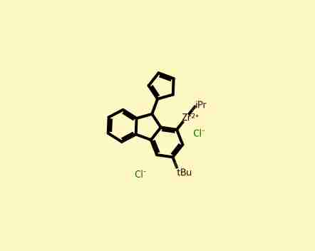 C[CH](C)[Zr+2][c]1cc(C(C)(C)C)cc2c1C(C1=CC=CC1)c1ccccc1-2.[Cl-].[Cl-]